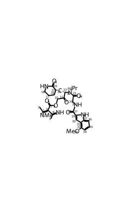 CN/C(C)=C(\C(C)=N)C(=O)OCC(=O)[C@H](C[C@@H]1CCCNC1=O)N(C(=O)CNC(=O)c1cc2c(OC)cccc2[nH]1)C(C)C